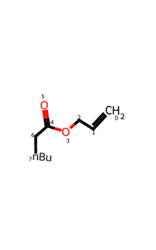 C=CCOC(=O)CC[CH]CC